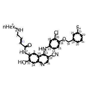 CCCCCCNC/C=C/C(=O)Nc1cc2c(Nc3ccc(OCc4cccc(F)c4)c(Cl)c3)c(C#N)cnc2cc1O